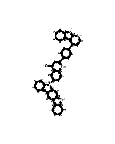 O=c1cc(-c2ccc(-c3ccnc4sc5ccccc5c34)cc2)oc2ccc(-n3c4ccccc4c4cc5c(cc43)oc3ccccc35)cc12